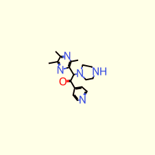 Cc1nc(C)c(C(C(=O)c2ccncc2)N2CCNCC2)nc1C